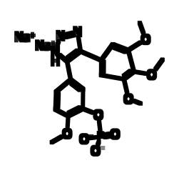 COc1ccc(-c2[nH]nnc2-c2cc(OC)c(OC)c(OC)c2)cc1OP(=O)([O-])[O-].[Na+].[Na+]